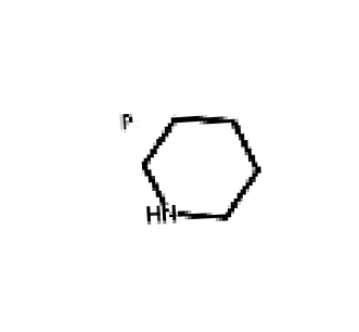 C1CCNCC1.[P]